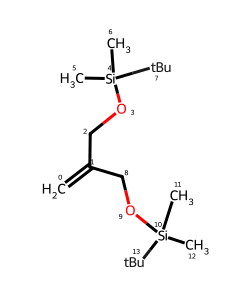 C=C(CO[Si](C)(C)C(C)(C)C)CO[Si](C)(C)C(C)(C)C